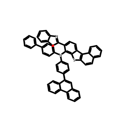 c1ccc(-c2ccc(N(c3ccc(-c4cc5ccccc5c5ccccc45)cc3)c3c(-c4nc5ccccc5s4)ccc4c3sc3ccc5ccccc5c34)cc2)cc1